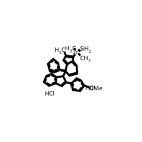 COc1ccc(C2=Cc3ccccc3C2C2(c3ccccc3)C=CC=C3C2=CC(C)=[C]3[Zr]([CH3])([CH3])=[SiH2])cc1.Cl.Cl